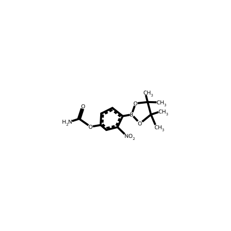 CC1(C)OB(c2ccc(OC(N)=O)cc2[N+](=O)[O-])OC1(C)C